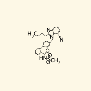 CCCCc1nc2cccc(C#N)c2n1Cc1ccc(-c2ccccc2C(=O)NS(C)(=O)=O)cc1